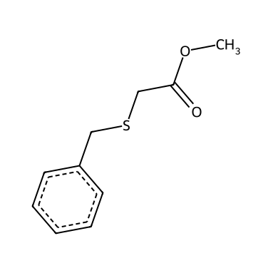 COC(=O)CSCc1ccccc1